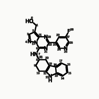 OCc1cnn2c(N[C@@H]3CCc4[nH]c5ccccc5c4C3)nc(-c3cncc(F)c3)nc12